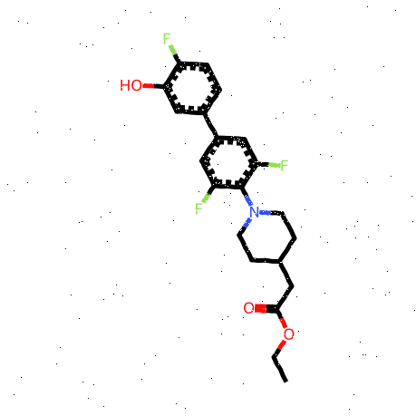 CCOC(=O)CC1CCN(c2c(F)cc(-c3ccc(F)c(O)c3)cc2F)CC1